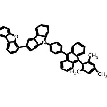 Cc1cc(C)c(-c2c3ccccc3c(-c3ccc(-n4c5ccccc5c5cc(-c6cccc7c6oc6ccccc67)ccc54)cc3)c3ccccc23)c(C)c1